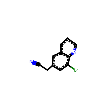 N#CCc1cc(Br)c2ncccc2c1